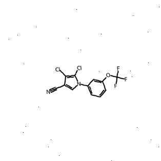 N#Cc1cn(-c2cccc(OC(F)(F)F)c2)c(Cl)c1Cl